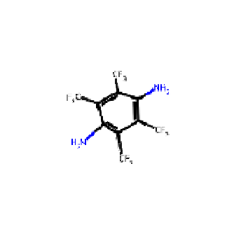 Nc1c(C(F)(F)F)c(C(F)(F)F)c(N)c(C(F)(F)F)c1C(F)(F)F